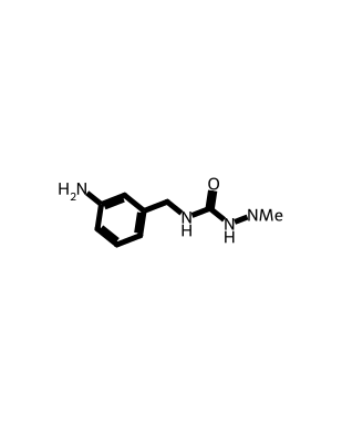 CNNC(=O)NCc1cccc(N)c1